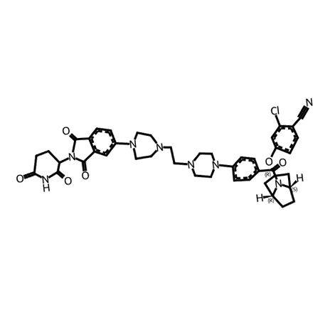 N#Cc1ccc(O[C@H]2C[C@H]3CC[C@@H](C2)N3C(=O)c2ccc(N3CCN(CCN4CCN(c5ccc6c(c5)C(=O)N(C5CCC(=O)NC5=O)C6=O)CC4)CC3)cc2)cc1Cl